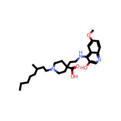 CCCCCC(C)CCN1CCC(CCNc2c(O)cnc3ccc(OC)cc23)(C(=O)O)CC1